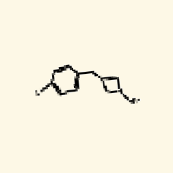 [CH2]CCN1CC(Cc2ccc(Cl)cc2)C1